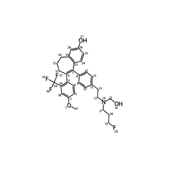 COc1ccc(C2=C(c3ccc(CCN(CO)CCCF)cc3)c3ccc(O)cc3CCC2)c(C(F)(F)F)c1